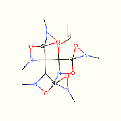 C=COC1(C2(C3N(C)O[Si]34ON4C)N(C)O[Si]23ON3C)N(C)O[Si]12ON2C